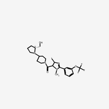 CN1C(c2cccc(OC(F)(F)F)c2)=NC(I)C1C(=O)N1CCC(N2CCC[C@@H]2CO)CC1